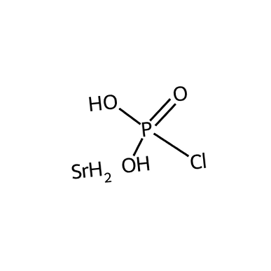 O=P(O)(O)Cl.[SrH2]